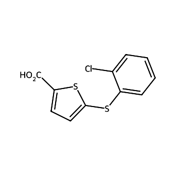 O=C(O)c1ccc(Sc2ccccc2Cl)s1